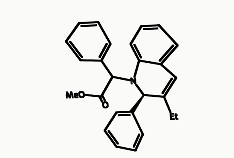 CCC1=Cc2ccccc2N(C(C(=O)OC)c2ccccc2)[C@@H]1c1ccccc1